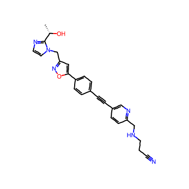 C[C@H](O)c1nccn1Cc1cc(-c2ccc(C#Cc3ccc(CNCCC#N)nc3)cc2)on1